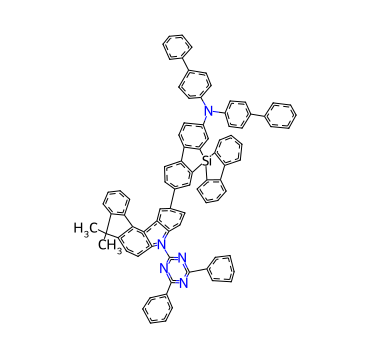 CC1(C)c2ccccc2-c2c1ccc1c2c2cc(-c3ccc4c(c3)[Si]3(c5ccccc5-c5ccccc53)c3cc(N(c5ccc(-c6ccccc6)cc5)c5ccc(-c6ccccc6)cc5)ccc3-4)ccc2n1-c1nc(-c2ccccc2)nc(-c2ccccc2)n1